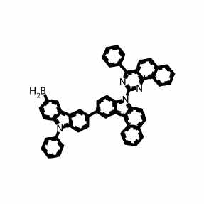 Bc1ccc2c(c1)c1cc(-c3ccc4c(c3)c3c5ccccc5ccc3n4-c3nc(-c4ccccc4)c4ccc5ccccc5c4n3)ccc1n2-c1ccccc1